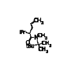 C=CCC(C(=O)N(C)C(C)(C)C(C)(C)C)C(C)C